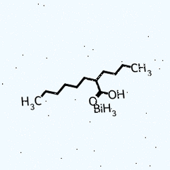 CCCCCCC(CCCC)C(=O)O.[BiH3]